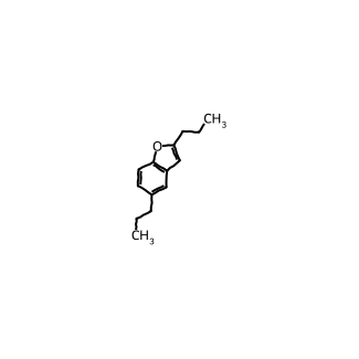 CCCc1ccc2oc(CCC)cc2c1